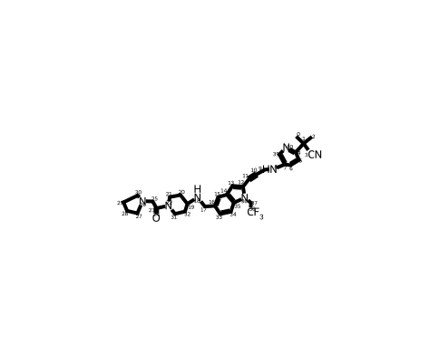 CC(C)(C#N)c1ccc(NCC#Cc2cc3cc(CNC4CCN(C(=O)CN5CCCC5)CC4)ccc3n2CC(F)(F)F)cn1